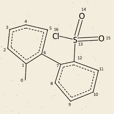 Cc1ccccc1-c1ccccc1S(=O)(=O)Cl